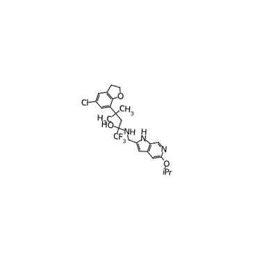 CC(C)Oc1cc2cc(CNC(O)(CC(C)(C)c3cc(Cl)cc4c3OCC4)C(F)(F)F)[nH]c2cn1